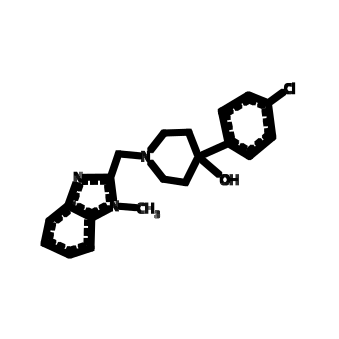 Cn1c(CN2CCC(O)(c3ccc(Cl)cc3)CC2)nc2ccccc21